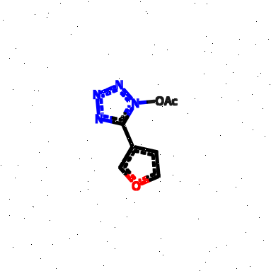 CC(=O)On1nnnc1-c1ccoc1